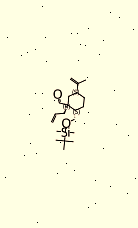 C=CC[C@@]1(C=O)C[C@@H](C(=C)C)CC[C@@H]1CO[Si](C)(C)C(C)(C)C